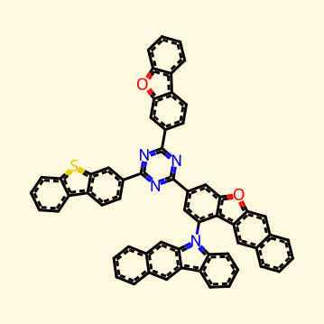 c1ccc2cc3c(cc2c1)oc1cc(-c2nc(-c4ccc5c(c4)oc4ccccc45)nc(-c4ccc5c(c4)sc4ccccc45)n2)cc(-n2c4ccccc4c4cc5ccccc5cc42)c13